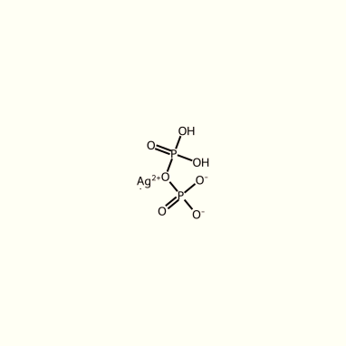 O=P([O-])([O-])OP(=O)(O)O.[Ag+2]